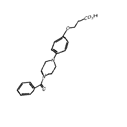 O=C(O)CCOc1ccc(N2CCN(C(=O)c3ccccc3)CC2)cc1